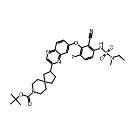 CCN(C)S(=O)(=O)Nc1ccc(F)c(Oc2ccc3ncc(C4CCC5(CCN(C(=O)OC(C)(C)C)CC5)C4)nc3c2)c1C#N